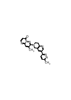 Cc1ccc(-c2cnc3c(c2)CN(c2nn4c(=O)ccnc4cc2C)CC3)nn1